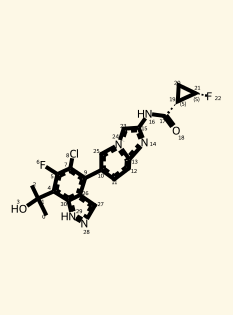 CC(C)(O)c1c(F)c(Cl)c(-c2ccc3nc(NC(=O)[C@@H]4C[C@@H]4F)cn3c2)c2cn[nH]c12